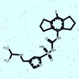 CC(C)NCc1coc(S(=N)(=O)NC(=O)Nc2c3c(c(F)c4c2CCC4)CCC3)c1